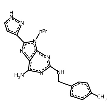 CCCn1c(-c2cc[nH]n2)nc2c(N)nc(NCc3ccc(C)cc3)nc21